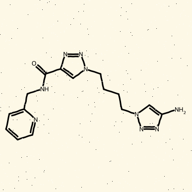 Nc1cn(CCCCn2cc(C(=O)NCc3ccccn3)nn2)nn1